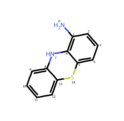 Nc1cccc2c1Nc1ccccc1S2